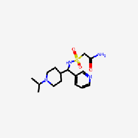 CC(C)N1CCC(C(NS(=O)(=O)CC(N)=O)c2cccnc2)CC1